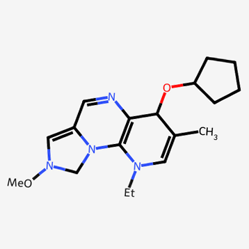 CCN1C=C(C)C(OC2CCCC2)C2=C1N1CN(OC)C=C1C=N2